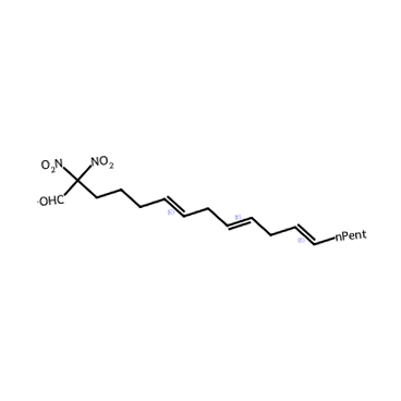 CCCCC/C=C/C/C=C/C/C=C/CCCC([C]=O)([N+](=O)[O-])[N+](=O)[O-]